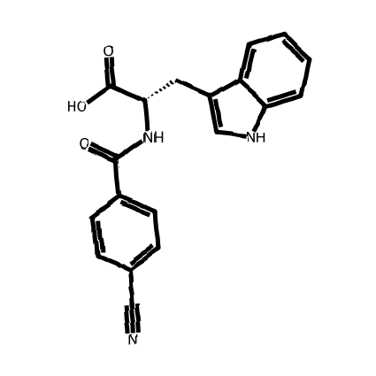 N#Cc1ccc(C(=O)N[C@@H](Cc2c[nH]c3ccccc23)C(=O)O)cc1